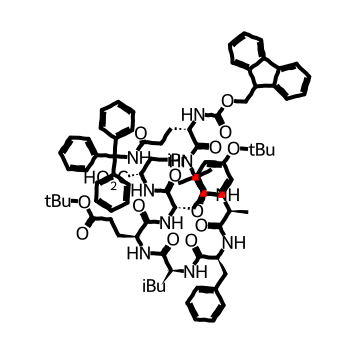 CC[C@H](C)[C@H](NC(=O)[C@H](Cc1ccccc1)NC(=O)[C@H](C)NC(=O)C(C)(C)NC(=O)[C@H](CCC(=O)NC(c1ccccc1)(c1ccccc1)c1ccccc1)NC(=O)OCC1c2ccccc2-c2ccccc21)C(=O)N[C@@H](CCC(=O)OC(C)(C)C)C(=O)N[C@@H](Cc1ccc(OC(C)(C)C)cc1)C(=O)N[C@@H](CC(C)C)C(=O)O